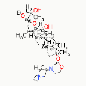 CCO[C@@H]([C@H]1C[C@@H](C)[C@H]2[C@H](O1)[C@H](O)[C@]1(C)[C@@H]3CC[C@H]4C(C)(C)[C@@H](O[C@H]5CN([C@H](C)CN6CCC6)CCO5)CC[C@@]45C[C@@]35CC[C@@]21C)C(C)(C)O